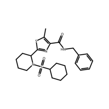 Cc1sc(C2CCCCN2S(=O)(=O)C2CCCCC2)nc1C(=O)NCc1ccccc1